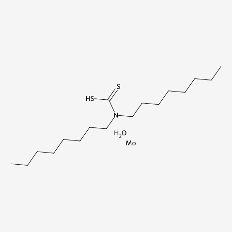 CCCCCCCCN(CCCCCCCC)C(=S)S.O.[Mo]